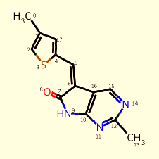 Cc1csc(C=C2C(=O)Nc3nc(C)ncc32)c1